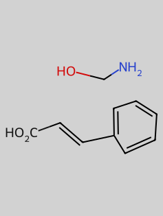 NCO.O=C(O)C=Cc1ccccc1